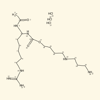 CC(=O)NC(CCCCCNC(=N)N)NC(=O)OCCCCNCCCN.Cl.Cl.Cl